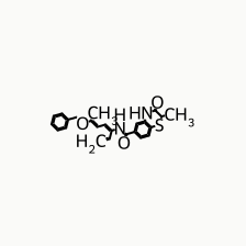 C=C/C(=C\C=C(/C)OCc1ccccc1)NC(=O)c1ccc2c(c1)NC(=O)C(C)S2